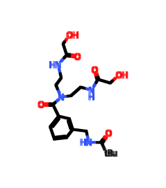 CC(C)(C)C(=O)NCc1cccc(C(=O)N(CCNC(=O)CO)CCNC(=O)CO)c1